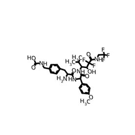 COc1ccc(C(NC(=O)C(N)Cc2ccc(CNC(=O)O)cc2)C(=O)NC(C(C)C)C(O)C(F)(F)C(=O)NCC(F)(F)F)cc1